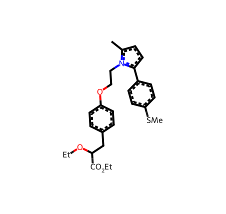 CCOC(=O)C(Cc1ccc(OCCn2c(C)ccc2-c2ccc(SC)cc2)cc1)OCC